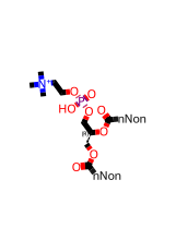 CCCCCCCCCC(=O)OC[C@H](COP(=O)(O)OCC[N+](C)(C)C)OC(=O)CCCCCCCCC